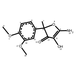 COc1ccc(C2(C)OC(N)=C(O)C2=O)cc1OC